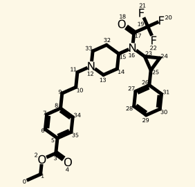 CCOC(=O)c1ccc(CCCN2CCC(N(C(=O)C(F)(F)F)C3CC3c3ccccc3)CC2)cc1